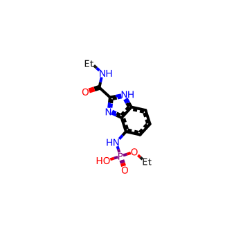 CCNC(=O)c1nc2c(NP(=O)(O)OCC)cccc2[nH]1